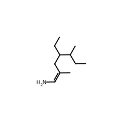 CCC(C)C(CC)C/C(C)=C\N